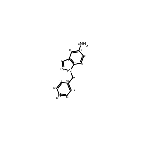 Nc1ccc2c(cnn2Cc2ccncc2)c1